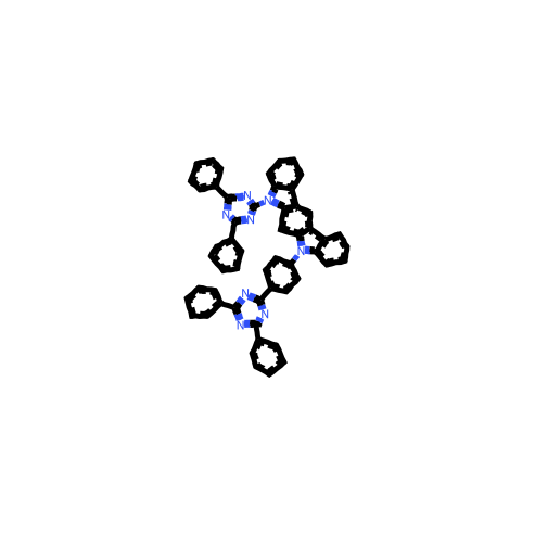 c1ccc(-c2nc(-c3ccccc3)nc(-c3ccc(-n4c5ccccc5c5cc6c7ccccc7n(-c7nc(-c8ccccc8)nc(-c8ccccc8)n7)c6cc54)cc3)n2)cc1